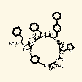 CC(=O)O[C@@H]1CC(=O)N[C@@H](Cc2cccs2)C(=O)N[C@H](Cc2ccc(-c3ccccc3)cc2)C(=O)N[C@@H](Cc2ccccc2)C(=O)N[C@@H](C(=O)N[C@@H](Cc2ccccc2)C(=O)O)Cc2ccc(cc2)NC1=O